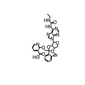 CCNC(=O)Nc1ncnc2c1ncn2C1OCC2OC(COc3ncccc3C(=O)O)(c3ccccc3Br)OC21